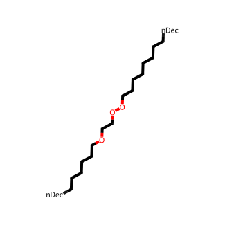 CCCCCCCCCCCCCCCCCCOOCCOCCCCCCCCCCCCCCCC